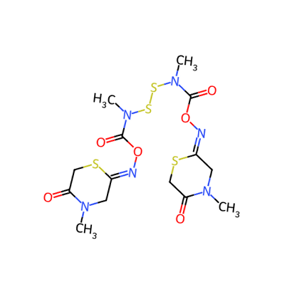 CN1CC(=NOC(=O)N(C)SSN(C)C(=O)ON=C2CN(C)C(=O)CS2)SCC1=O